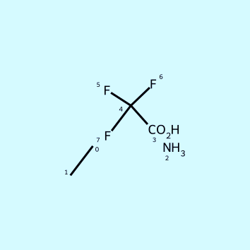 CC.N.O=C(O)C(F)(F)F